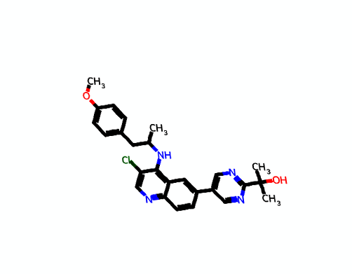 COc1ccc(CC(C)Nc2c(Cl)cnc3ccc(-c4cnc(C(C)(C)O)nc4)cc23)cc1